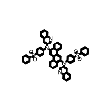 O=S(=O)(c1ccccc1)c1ccc(N(c2cnc3ccccc3c2)c2cc3c4ccccc4c(N(c4ccc(S(=O)(=O)c5ccccc5)cc4)c4cnc5ccccc5c4)cc3c3ccccc23)cc1